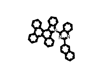 c1ccc2cc(-c3nc(-n4c5ccccc5c5c6c7ccccc7c7ccccc7c6c6ccccc6c54)c4ccccc4n3)ccc2c1